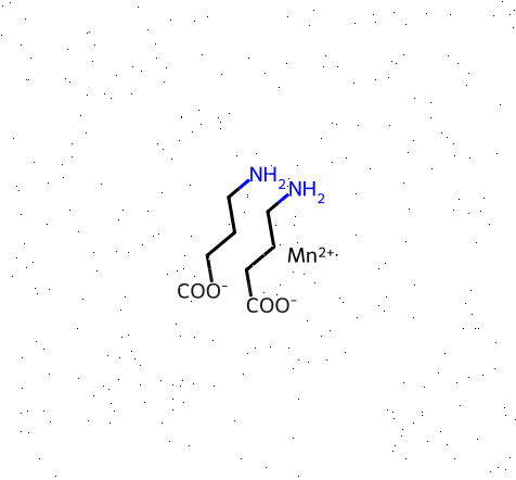 NCCCC(=O)[O-].NCCCC(=O)[O-].[Mn+2]